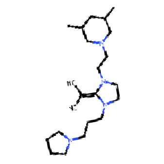 CC1CC(C)CN(CCN2CCN(CCCN3CCCC3)C2=C(C#N)C#N)C1